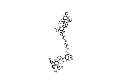 COc1cc(C2NC(=O)c3cc(Cl)ccc3N2)ccc1OCCCCCCCCOc1cc(-c2cc(-c3cc(OC)c(OC)c(OC)c3)on2)ccc1OC